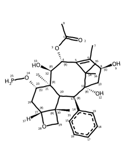 CC(=O)O[C@@H]1C2=C(C)[C@@H](O)C[C@@](O)([C@@H](c3ccccc3)C3[C@@](C)([C@@H](OP)C[C@H]4OC[C@@]34C)[C@H]1O)C2(C)C